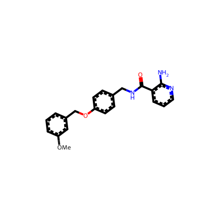 COc1cccc(COc2ccc(CNC(=O)c3cccnc3N)cc2)c1